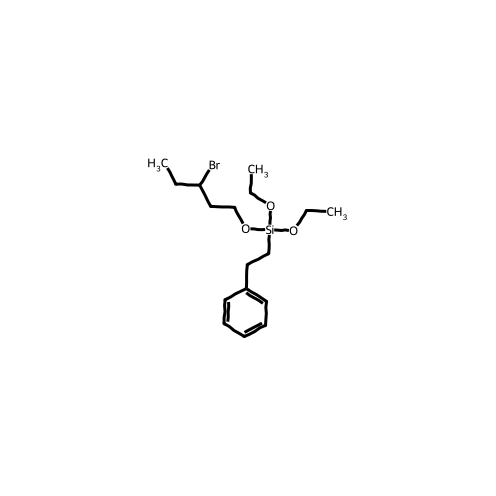 CCO[Si](CCc1ccccc1)(OCC)OCCC(Br)CC